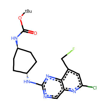 CC(C)(C)OC(=O)N[C@H]1CC[C@H](Nc2ncc3nc(Cl)cc(CF)c3n2)CC1